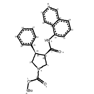 CC(C)(C)OC(=O)N1C[C@H](C(=O)Nc2cccc3cnccc23)[C@H](c2ccccc2)C1